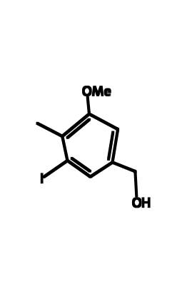 COc1cc(CO)cc(I)c1C